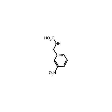 O=C(O)NCc1cccc([N+](=O)[O-])c1